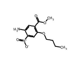 CCCCOc1cc([N+](=O)[O-])c(N)cc1C(=O)OC